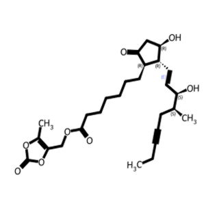 CCC#CC[C@H](C)[C@H](O)/C=C/[C@H]1[C@H](O)CC(=O)[C@@H]1CCCCCCC(=O)OCc1oc(=O)oc1C